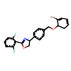 Fc1cccc(F)c1C1=NC(c2ccc(COC3CC=CC=C3Br)cc2)CO1